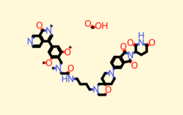 COc1cc(-c2cn(C)c(=O)c3cnccc23)cc(OC)c1CN(C)CC(=O)NCCCCN1CCOC2(CCN(c3ccc4c(c3)C(=O)N(C3CCC(=O)NC3=O)C4=O)CC2)C1.O=CO